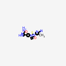 Cc1cc(N2C(=O)C3(CCC3)N(c3ccc(-c4c[nH]nc4C(N)=O)cc3)C2=S)cnc1C#N